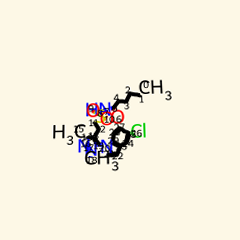 CCCCCC(=O)NS(=O)(=O)CCc1c(C)nn(C)c1-n1ccc2cc(Cl)ccc21